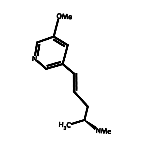 CN[C@@H](C)CC=Cc1cncc(OC)c1